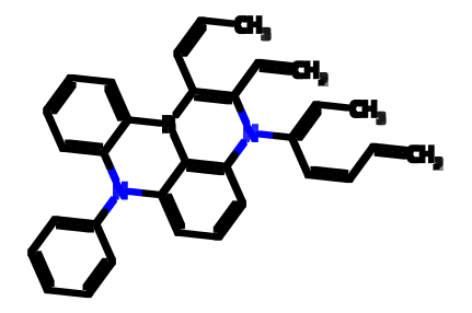 C=C/C=C\C(=C/C)N1C(C=C)=C(/C=C\C)B2c3ccccc3N(c3ccccc3)c3cccc1c32